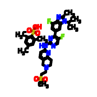 Cc1cc(C)c(S(=O)(=O)O)c(C)c1.Cc1nc2c(F)cc(-c3nc(Nc4ccc5c(n4)CCN(CCS(C)(=O)=O)C5)ncc3F)cc2n1C(C)C